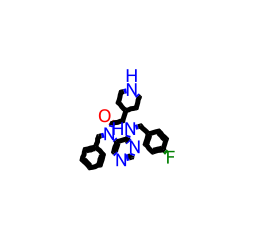 O=C(CC1CCNCC1)N(Cc1ccccc1)c1cncnc1NCc1ccc(F)cc1